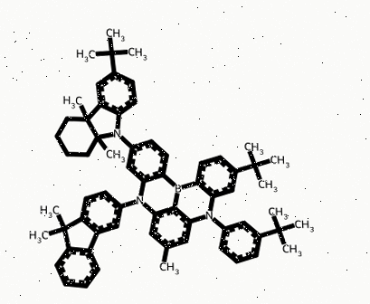 Cc1cc2c3c(c1)N(c1cccc(C(C)(C)C)c1)c1cc(C(C)(C)C)ccc1B3c1ccc(N3c4ccc(C(C)(C)C)cc4C4(C)CCCCC34C)cc1N2c1ccc2c(c1)-c1ccccc1C2(C)C